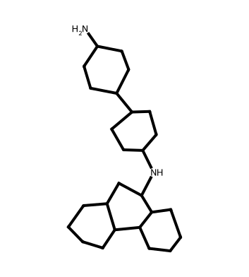 NC1CCC(C2CCC(NC3CC4CCCCC4C4CCCCC34)CC2)CC1